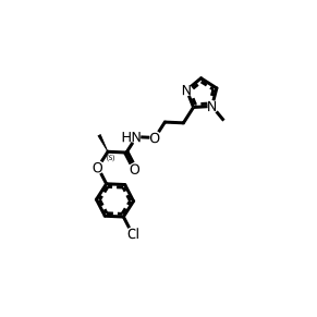 C[C@H](Oc1ccc(Cl)cc1)C(=O)NOCCc1nccn1C